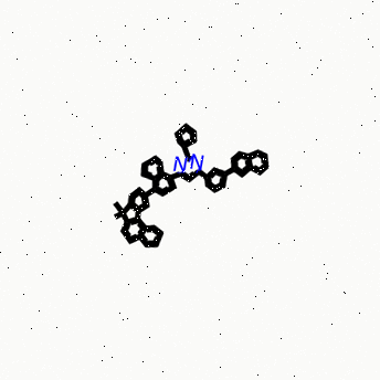 CC1(C)c2ccc(-c3ccc(-c4cc(-c5cccc(-c6ccc7ccccc7c6)c5)nc(-c5ccccc5)n4)c4ccccc34)cc2-c2c1ccc1ccccc21